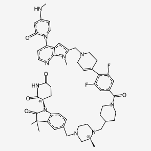 CNc1ccn(-c2ccnc3c2cc(CN2CC=C(c4c(F)cc(C(=O)N5CCC(CN6CCN(Cc7ccc8c(c7)C(C)(C)C(=O)N8[C@@H]7CCC(=O)NC7=O)C[C@@H]6C)CC5)cc4F)CC2)n3C)c(=O)c1